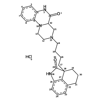 Cl.O=C1Nc2ccccc2N2CCN(CCCCC34CCCc5cccc(c53)NC4=O)CC12